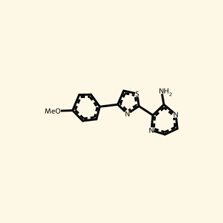 COc1ccc(-c2csc(-c3nccnc3N)n2)cc1